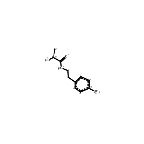 C[C@H](O)C(=O)NCCc1ccc([N+](=O)[O-])cc1